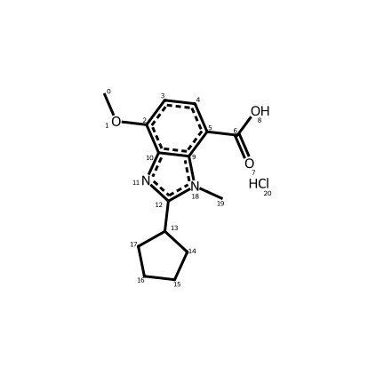 COc1ccc(C(=O)O)c2c1nc(C1CCCC1)n2C.Cl